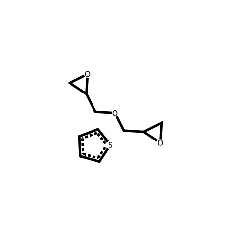 C(OCC1CO1)C1CO1.c1ccsc1